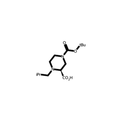 CC(C)CN1CCN(C(=O)OC(C)(C)C)C[C@H]1C(=O)O